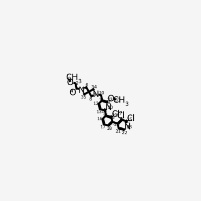 COCC(=O)N1CC2(CN(Cc3ccc(-c4cccc(-c5ccnc(Cl)c5Cl)c4Cl)nc3OC)C2)C1